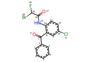 O=C(c1ccccc1)c1cc(Cl)ccc1NC(=O)C(F)Br